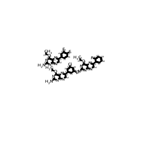 CCOc1nc(N)nc2ncc(-c3cc(Cl)cc(Cl)c3)nc12.CCOc1nc(N)nc2ncc(-c3ccc(F)c(F)c3)nc12.CCOc1nc(N)nc2ncc(-c3ccccc3F)nc12